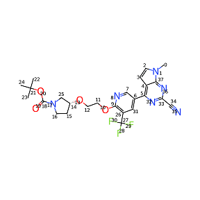 Cn1ccc2c(-c3cnc(OCCO[C@@H]4CCN(C(=O)OC(C)(C)C)C4)c(C(F)(F)F)c3)nc(C#N)nc21